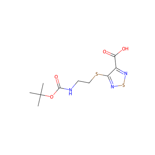 CC(C)(C)OC(=O)NCCSc1nsnc1C(=O)O